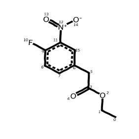 CCOC(=O)Cc1ccc(F)c([N+](=O)[O-])c1